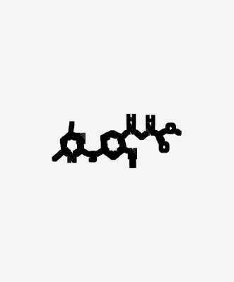 C=Nc1cc(Sc2nc(C)cc(C)n2)ccc1NCNC(=O)OC